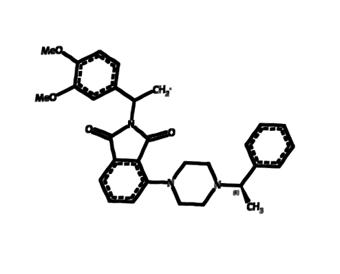 [CH2]C(c1ccc(OC)c(OC)c1)N1C(=O)c2cccc(N3CCN([C@H](C)c4ccccc4)CC3)c2C1=O